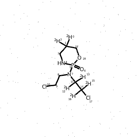 [2H]C1([2H])CNP(=O)(N(CCCl)C([2H])([2H])C([2H])([2H])Cl)OC1